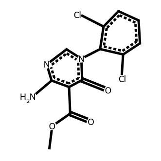 COC(=O)c1c(N)ncn(-c2c(Cl)cccc2Cl)c1=O